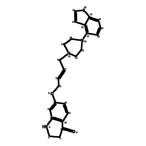 O=C1CCNc2cc(OCC=CCN3CCN(c4cccc5sccc45)CC3)ccc21